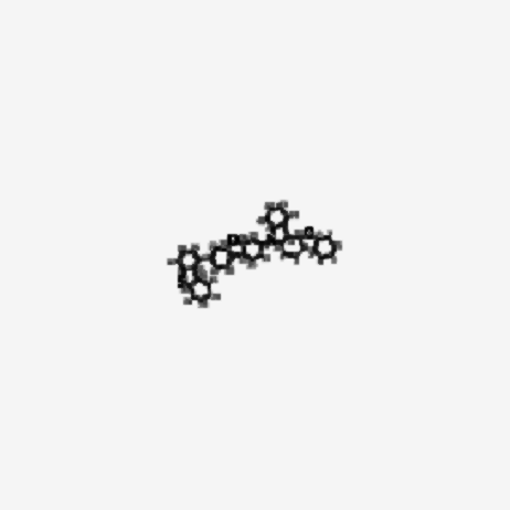 C1=CC2c3ccccc3OC2c2c1n(-c1ccc3c(c1)oc1cc(-c4cccc5sc6ccccc6c45)ccc13)c1ccccc21